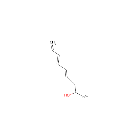 C=C/C=C/C=CCC(O)CCC